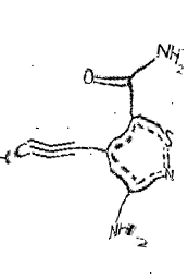 C#Cc1c(N)nsc1C(N)=O